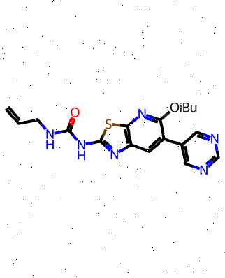 C=CCNC(=O)Nc1nc2cc(-c3cncnc3)c(OCC(C)C)nc2s1